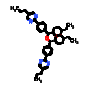 CCCc1cnc(-c2ccc(C(OC(c3ccc(-c4ncc(CCC)cn4)cc3)[C@H]3CC[C@H](CC)CC3)[C@H]3CC[C@H](CC)CC3)cc2)nc1